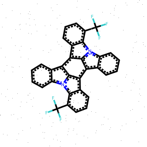 FC(F)(F)c1cccc2c3c4c5ccccc5n5c6c(C(F)(F)F)cccc6c(c6c7ccccc7n(c12)c63)c45